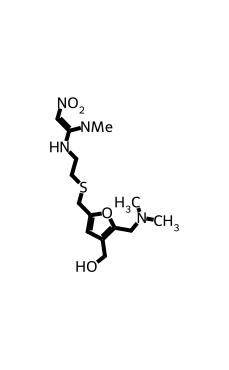 CN/C(=C\[N+](=O)[O-])NCCSCc1cc(CO)c(CN(C)C)o1